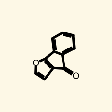 O=C1c2ccccc2-c2occc21